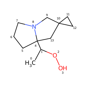 CC(OO)C12CCCN1CC1(CC1)C2